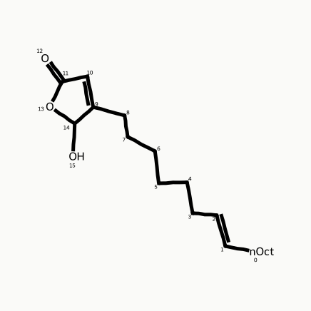 CCCCCCCCC=CCCCCCCC1=CC(=O)OC1O